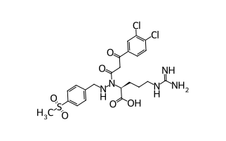 CS(=O)(=O)c1ccc(CNN(C(=O)CC(=O)c2ccc(Cl)c(Cl)c2)[C@@H](CCCNC(=N)N)C(=O)O)cc1